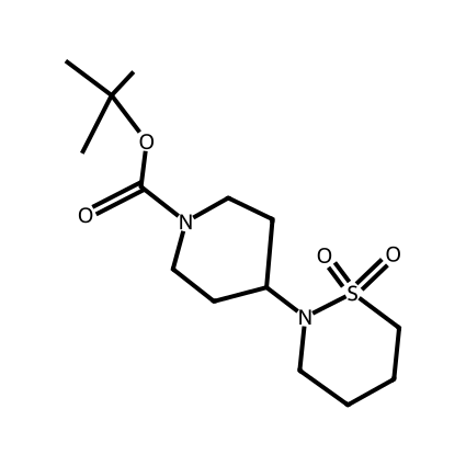 CC(C)(C)OC(=O)N1CCC(N2CCCCS2(=O)=O)CC1